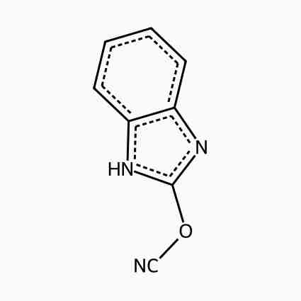 N#COc1nc2ccccc2[nH]1